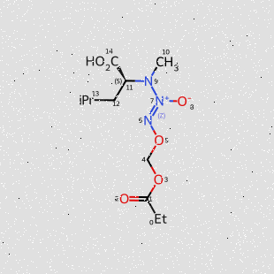 CCC(=O)OCO/N=[N+](\[O-])N(C)[C@@H](CC(C)C)C(=O)O